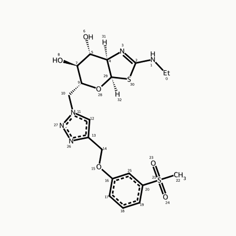 CCNC1=N[C@@H]2[C@@H](O)[C@H](O)[C@@H](Cn3cc(COc4cccc(S(C)(=O)=O)c4)nn3)O[C@@H]2S1